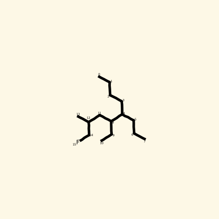 CCCCC(CCC)C(CC)CC(C)CF